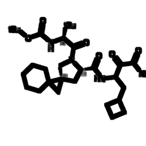 CC(C)(C)OC(=O)N[C@H](C(=O)N1C[C@]2(C[C@H]1C(=O)NC(CC1CCC1)C(=O)C(N)=O)CC21CCCCC1)C(C)(C)C